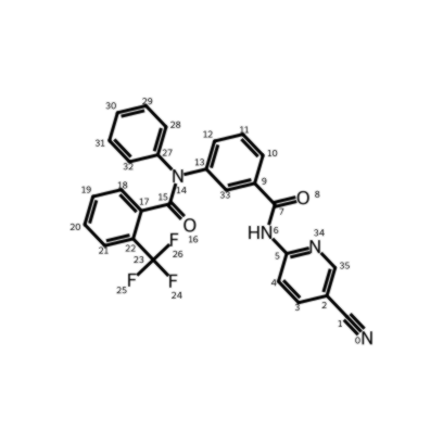 N#Cc1ccc(NC(=O)c2cccc(N(C(=O)c3ccccc3C(F)(F)F)c3ccccc3)c2)nc1